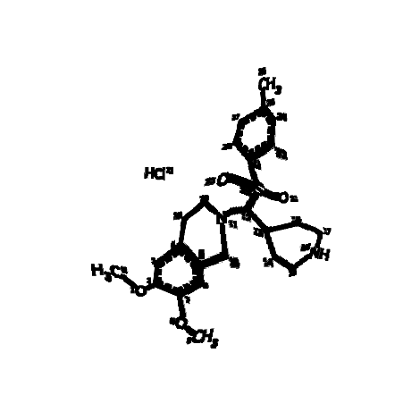 COc1cc2c(cc1OC)CN(C(C1CCNCC1)S(=O)(=O)c1ccc(C)cc1)CC2.Cl